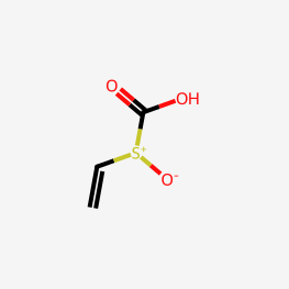 C=C[S+]([O-])C(=O)O